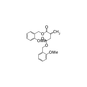 C=C(CC(=O)OCc1ccccc1OC)C(=O)OCc1ccccc1OC